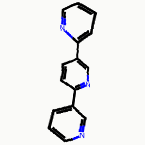 c1ccc(-c2ccc(-c3cccnc3)nc2)nc1